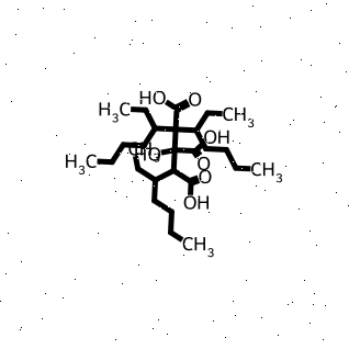 CCCCC(CC)C(C(=O)O)C(O)(C(=O)O)C(C(=O)O)(C(CC)CCCC)C(CC)CCCC